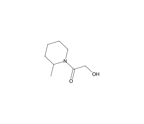 CC1CCCCN1C(=O)CO